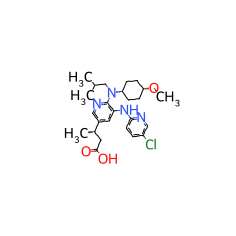 CO[C@H]1CC[C@@H](N(CC(C)C)c2ncc([C@H](C)CC(=O)O)cc2Nc2ccc(Cl)cn2)CC1